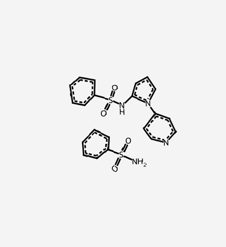 NS(=O)(=O)c1ccccc1.O=S(=O)(Nc1cccn1-c1ccncc1)c1ccccc1